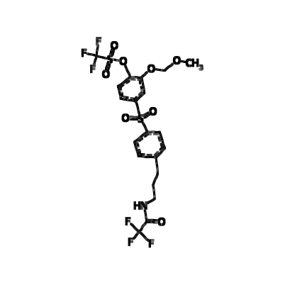 COCOc1cc(S(=O)(=O)c2ccc(CCCNC(=O)C(F)(F)F)cc2)ccc1OS(=O)(=O)C(F)(F)F